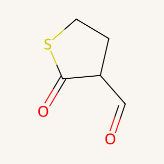 O=CC1CCSC1=O